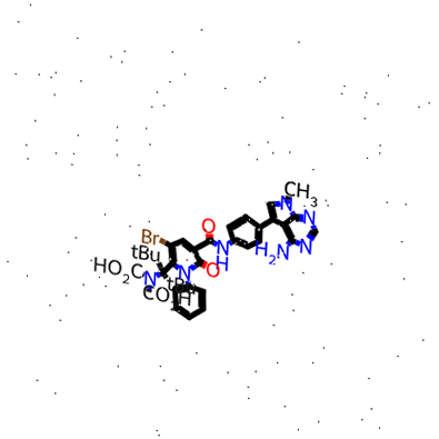 Cn1cc(-c2ccc(NC(=O)c3cc(Br)c(C(N(C(=O)O)C(=O)O)(C(C)(C)C)C(C)(C)C)n(-c4ccccc4)c3=O)cc2)c2c(N)ncnc21